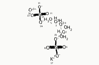 O.O.O.O.O.O.O=S(=O)([O-])[O-].O=S(=O)([O-])[O-].[Cr+3].[K+]